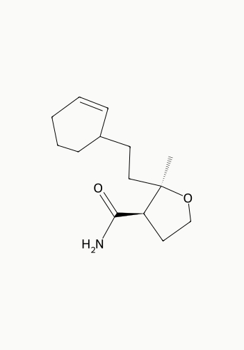 C[C@]1(CCC2C=CCCC2)OCC[C@H]1C(N)=O